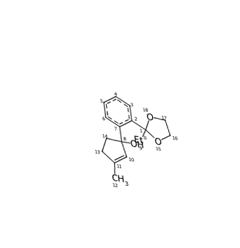 CCC1(c2ccccc2C2(O)C=C(C)CC2)OCCO1